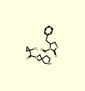 O=C1OCC(Cc2ccccc2)N1C(=O)[C@@H]1CNCC12CN(C(=O)C1(C(F)(F)F)CC1)C2